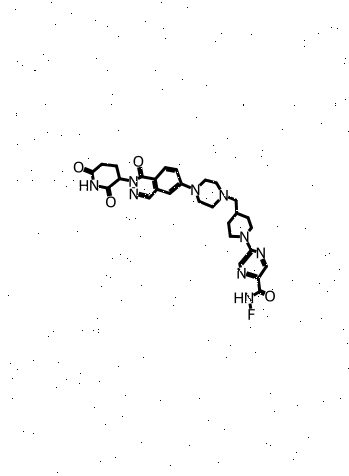 O=C1CCC(n2ncc3cc(N4CCN(CC5CCN(c6cnc(C(=O)NF)cn6)CC5)CC4)ccc3c2=O)C(=O)N1